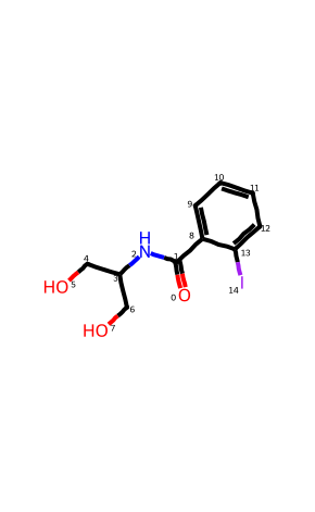 O=C(NC(CO)CO)c1ccccc1I